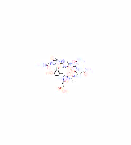 CCC[C@H](NC(=O)[C@H](CC(N)=O)NC(=O)[C@H](CCC(N)=O)NC(=O)[C@@H](NC(=O)[C@@H](Cc1ccc(O)cc1)NC(=O)CCS(=O)O)[C@@H](C)CC)C(=O)N(C)CC(=O)N[C@@](C)(CC(C)C)C(=O)NCC(N)=O